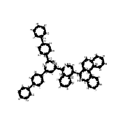 c1ccc(-c2ccc(-c3cc(-c4ncc(-c5nc6ccccc6c6c5ccc5ccccc56)c5ccccc45)nc(-c4ccc(-c5ccccc5)cc4)n3)cc2)cc1